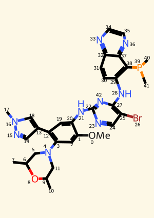 COc1cc(N2CC(C)OC(C)C2)c(-c2cnn(C)c2)cc1Nc1ncc(Br)c(Nc2ccc3nccnc3c2P(C)C)n1